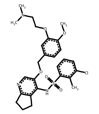 COc1ccc(COc2cnc3c(c2NS(=O)(=O)c2cccc(Cl)c2C)CCC3)cc1OCCN(C)C